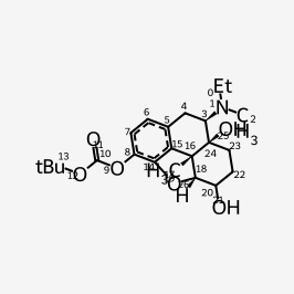 CCN(C)[C@@H]1Cc2ccc(OC(=O)OC(C)(C)C)c3c2[C@@]2(C)[C@@H](O3)C(O)CC[C@@]12O